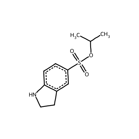 CC(C)OS(=O)(=O)c1ccc2c(c1)CCN2